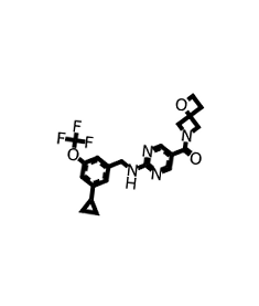 O=C(c1cnc(NCc2cc(OC(F)(F)F)cc(C3CC3)c2)nc1)N1CC2(CCO2)C1